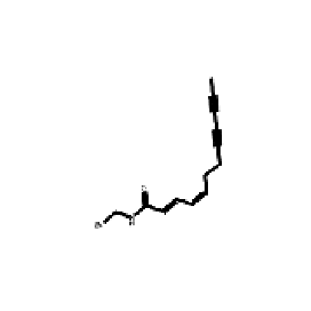 CC#CC#CCC/C=C\C=C\C(=O)NCC(C)CC